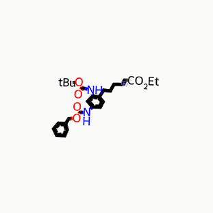 CCOC(=O)/C=C/CCCc1ccc(NC(=O)OCc2ccccc2)cc1NC(=O)OC(C)(C)C